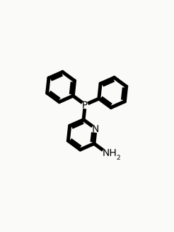 Nc1cccc(P(c2ccccc2)c2ccccc2)n1